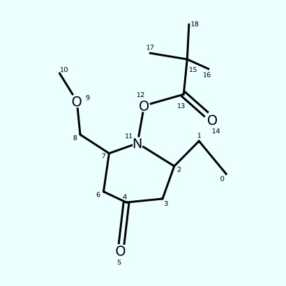 CCC1CC(=O)CC(COC)N1OC(=O)C(C)(C)C